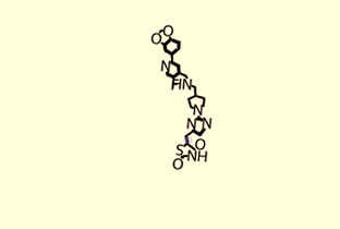 O=C1NC(=O)/C(=C\c2ccnc(N3CCC(CNCc4cc(-c5ccc6c(c5)OCO6)ncc4F)CC3)n2)S1